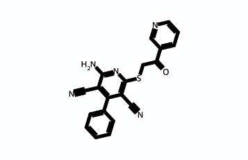 N#Cc1c(N)nc(SCC(=O)c2cccnc2)c(C#N)c1-c1ccccc1